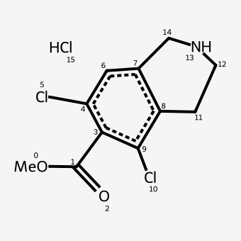 COC(=O)c1c(Cl)cc2c(c1Cl)CCNC2.Cl